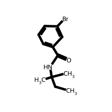 CCC(C)(C)NC(=O)c1cccc(Br)c1